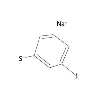 [Na+].[S-]c1cccc(I)c1